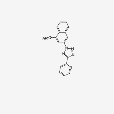 COc1cc(-n2nnc(-c3ccccn3)n2)cc2ccccc12